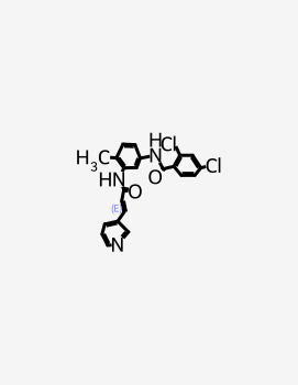 Cc1ccc(NC(=O)c2ccc(Cl)cc2Cl)cc1NC(=O)/C=C/c1cccnc1